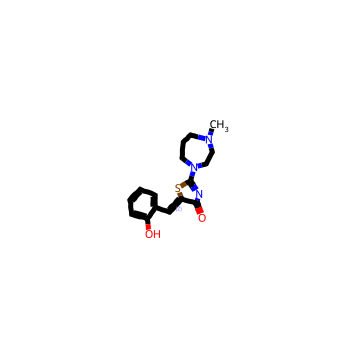 CN1CCCN(C2=NC(=O)/C(=C/c3ccccc3O)S2)CC1